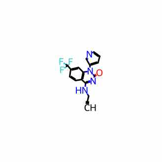 C#CCNc1nc(=O)n(-c2cccnc2)c2cc(C(F)(F)F)ccc12